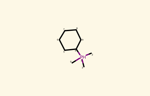 C[PH](C)(C)C1CCCCC1